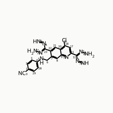 N#Cc1ccc(NCc2cc3nc(C(N=N)=NN)cc(Cl)c3cc2C(N=N)=NN)cc1